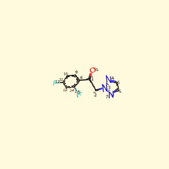 O=C(Cn1nccn1)c1ccc(F)cc1F